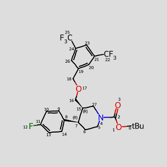 CC(C)(C)OC(=O)N1CC[C@@H](c2ccc(F)cc2)[C@@H](COCc2cc(C(F)(F)F)cc(C(F)(F)F)c2)C1